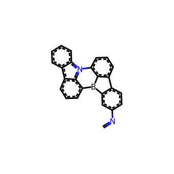 C=Nc1ccc2c(c1)B1c3c-2cccc3-n2c3ccccc3c3cccc1c32